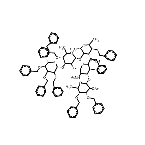 CC(=O)NC1[C@H](OC2[C@H](OC3[C@H](C)OC(C)[C@@H](OCc4ccccc4)[C@@H]3OCc3ccccc3)OC(C)[C@@H](OCc3ccccc3)[C@@H]2O[C@H]2O[C@@H](COCc3ccccc3)[C@H](OCc3ccccc3)C(OCc3ccccc3)C2OCc2ccccc2)OC(CO)[C@@H](O)[C@@H]1O[C@@H]1OC(C)[C@H](OCc2ccccc2)[C@@H](OCc2ccccc2)C1OC(C)=O